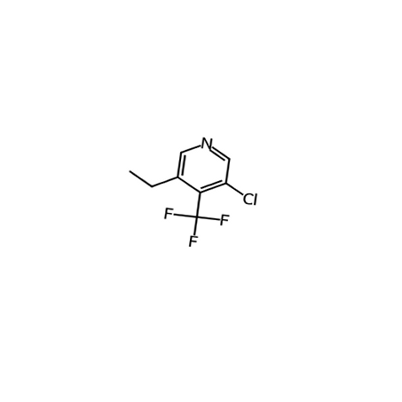 CCc1cncc(Cl)c1C(F)(F)F